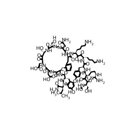 CC(C)C[C@H](NN[C@@H](Cc1ccc(O)cc1)C(=O)NC1Cc2ccccc2CC(C(=O)N[C@@H](CCCCN)C(=O)C(=O)[C@H](CCCCN)NC(=O)[C@H](Cc2ccc(O)cc2)NN[C@@H](CCCNC(N)N)C(=O)C(=O)[C@H](CO)NO)NC(=O)[C@H](CC(N)=O)NN[C@@H](CO)C(=O)N[C@@H](CO)C(=O)C(=O)[C@H](CC(=O)O)NC(=O)[C@H](CC(=O)O)NC1=O)C(N)=O